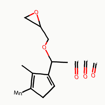 CC1=[C]([Mn])CC=C1C(C)OCC1CO1.[C]=O.[C]=O.[C]=O